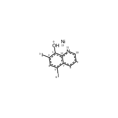 Oc1c(I)cc(I)c2cccnc12.[Ni]